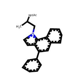 CC(=O)NC(C)Cn1ccc2c(-c3ccccc3)cc3ccccc3c21